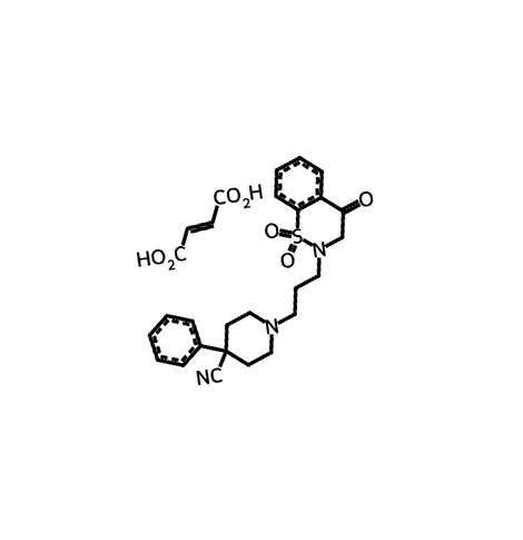 N#CC1(c2ccccc2)CCN(CCCN2CC(=O)c3ccccc3S2(=O)=O)CC1.O=C(O)/C=C/C(=O)O